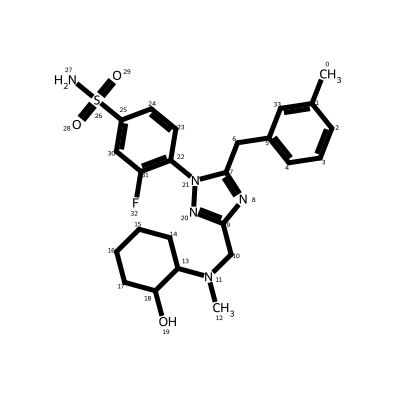 Cc1cccc(Cc2nc(CN(C)C3CCCCC3O)nn2-c2ccc(S(N)(=O)=O)cc2F)c1